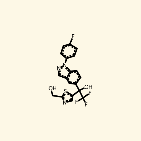 OCc1ncc(C(O)(c2ccc3c(cnn3-c3ccc(F)cc3)c2)C(F)(F)F)s1